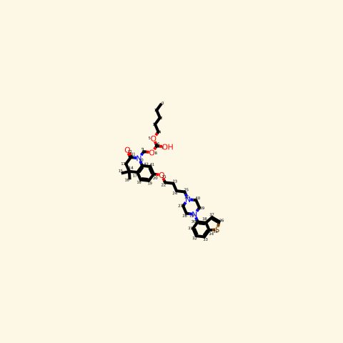 CCCCCOC(O)OCN1C(=O)CC(C)(C)c2ccc(OCCCCN3CCN(c4cccc5sccc45)CC3)cc21